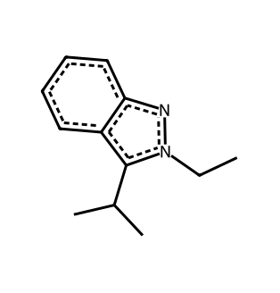 CCn1nc2ccccc2c1C(C)C